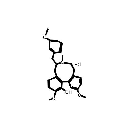 COc1cccc(CC2Cc3ccc(OC)c(O)c3-c3cc(OC)ccc3CCN2C)c1.Cl